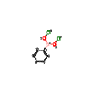 ClOB(OCl)c1ccccc1